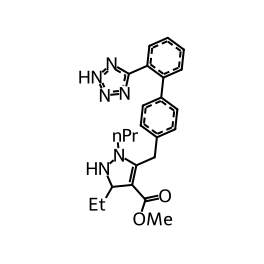 CCCN1NC(CC)C(C(=O)OC)=C1Cc1ccc(-c2ccccc2-c2nn[nH]n2)cc1